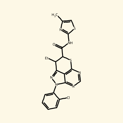 CCC1c2nn(-c3ccccc3Cl)c3ncnc(c23)SC1C(=O)Nc1nc(C)cs1